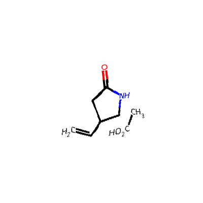 C=CC1CNC(=O)C1.CC(=O)O